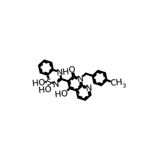 Cc1ccc(Cn2c(=O)c(C3=NS(O)(O)c4ccccc4N3)c(O)c3cccnc32)cc1